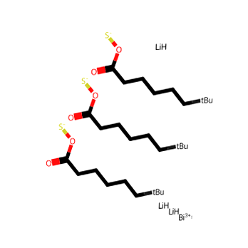 CC(C)(C)CCCCCC(=O)O[S-].CC(C)(C)CCCCCC(=O)O[S-].CC(C)(C)CCCCCC(=O)O[S-].[Bi+3].[LiH].[LiH].[LiH]